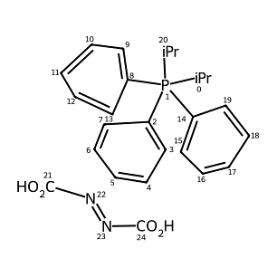 CC(C)P(c1ccccc1)(c1ccccc1)(c1ccccc1)C(C)C.O=C(O)N=NC(=O)O